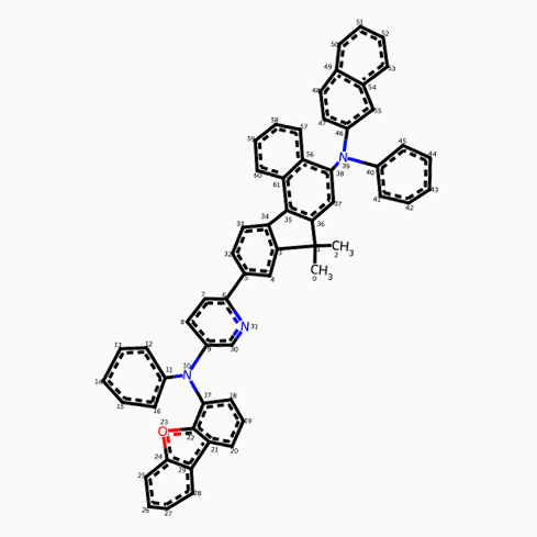 CC1(C)c2cc(-c3ccc(N(c4ccccc4)c4cccc5c4oc4ccccc45)cn3)ccc2-c2c1cc(N(c1ccccc1)c1ccc3ccccc3c1)c1ccccc21